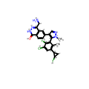 Cn1ncc(-c2ccc3c(=O)[nH]nc(CN)c3c2)c1-c1c(F)c(Cl)cc(C2CC2F)c1C#N